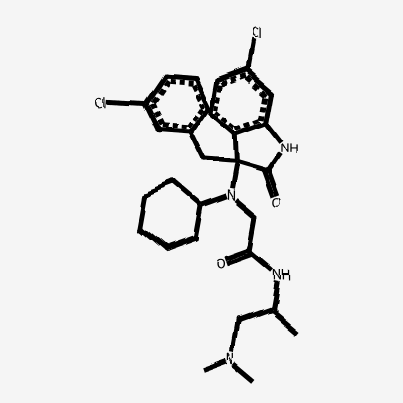 CC(CN(C)C)NC(=O)CN(C1CCCCC1)C1(Cc2cccc(Cl)c2)C(=O)Nc2cc(Cl)ccc21